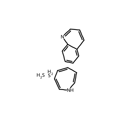 C1=CC=CNC=C1.S.S.c1ccc2ncccc2c1